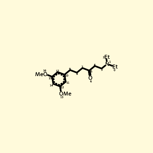 CCN(CC)CCC(=O)CCCc1cc(OC)cc(OC)c1